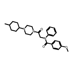 COc1ccc(C(=O)N(CC(=O)N2CCN(C3CCC(C)CC3)CC2)c2ccccc2)cc1